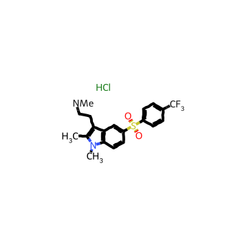 CNCCc1c(C)n(C)c2ccc(S(=O)(=O)c3ccc(C(F)(F)F)cc3)cc12.Cl